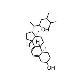 CC(C)C(C)CC(O)C(C)[C@H]1CC[C@H]2C3=CC=C4CC(O)CC[C@]4(C)[C@H]3CC[C@]12C